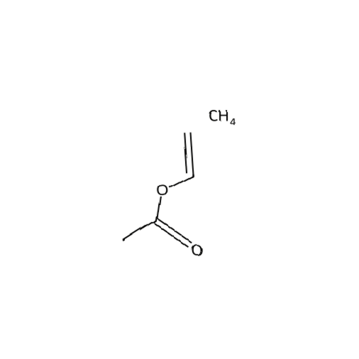 C.C=COC(C)=O